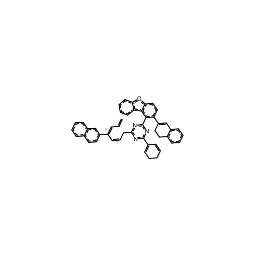 C=C/C=C(\C=C/Cc1nc(C2=CCCC=C2)nc(-c2c(C3=Cc4ccccc4CC3)ccc3oc4ccccc4c23)n1)c1ccc2ccccc2c1